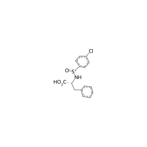 O=C(O)[C@@H](Cc1ccccc1)N[S+]([O-])c1ccc(Cl)cc1